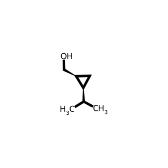 CC(C)[C@@H]1C[C@@H]1CO